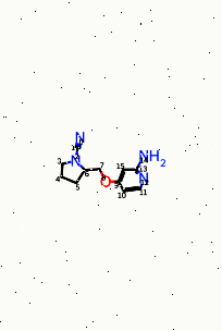 N#CN1CCCC1COc1ccnc(N)c1